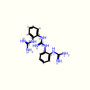 N=C(N)Nc1ccccc1NC(=N)Nc1ccccc1NC(=N)N